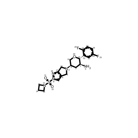 N[C@H]1C[C@@H](N2Cc3cn(S(=O)(=O)N4CCC4)nc3C2)CO[C@@H]1c1cc(F)ccc1F